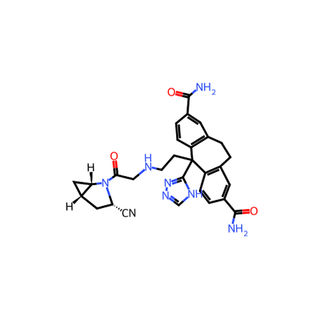 N#C[C@@H]1C[C@@H]2C[C@@H]2N1C(=O)CNCCC1(c2nnc[nH]2)c2ccc(C(N)=O)cc2CCc2cc(C(N)=O)ccc21